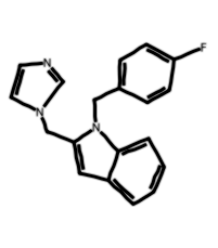 Fc1ccc(Cn2c(Cn3ccnc3)cc3ccccc32)cc1